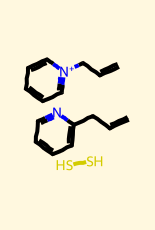 C=CC[n+]1ccccc1.C=CCc1ccccn1.SS